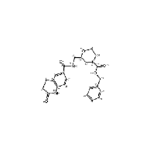 O=C1CCc2cc(C(=O)NC[C@@H]3CN(C(=O)OCc4ccccc4)CCO3)ccc2N1